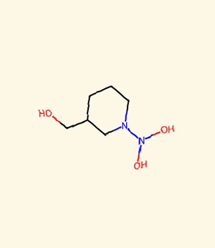 OCC1CCCN(N(O)O)C1